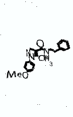 COc1ccc(-n2ncc(C(=O)NCCc3ccccc3)c2C(F)(F)F)cc1